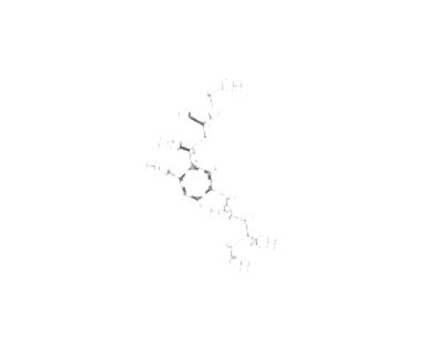 CCOC(=O)CC(=N)c1cc(CNCC(C)CC)ccc1O